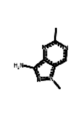 Cc1ncc2c(n1)c(N)nn2C